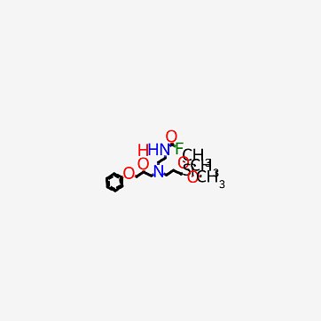 CO[Si](C)(CCCN(CCNC(=O)F)CC(O)COc1ccccc1)OC